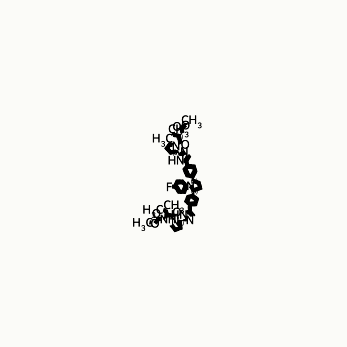 COC(=O)C[C@H](C(=O)N1CCC[C@H]1c1ncc(-c2ccc([C@H]3CC[C@@H](c4ccc(-c5cnc([C@@H]6CCCN6C(=O)[C@@H](NC(=O)OC)C(C)C)[nH]5)cc4)N3c3ccc(F)cc3)cc2)[nH]1)C(C)C